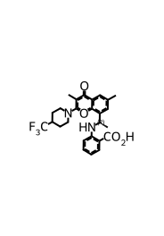 Cc1cc([C@@H](C)Nc2ccccc2C(=O)O)c2oc(N3CCC(C(F)(F)F)CC3)c(C)c(=O)c2c1